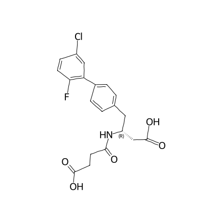 O=C(O)CCC(=O)N[C@@H](CC(=O)O)Cc1ccc(-c2cc(Cl)ccc2F)cc1